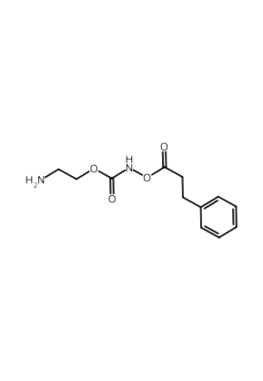 NCCOC(=O)NOC(=O)CCc1ccccc1